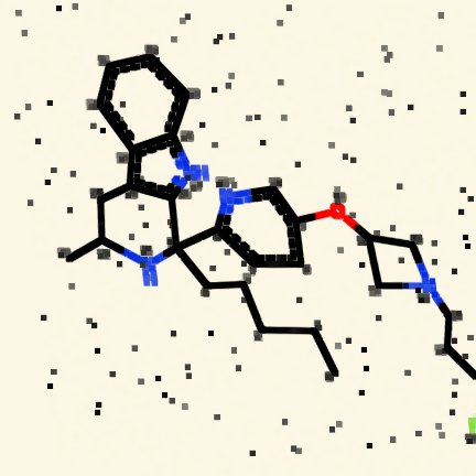 CCCCCC1(c2ccc(OC3CN(CCCF)C3)cn2)NC(C)Cc2c1[nH]c1ccccc21